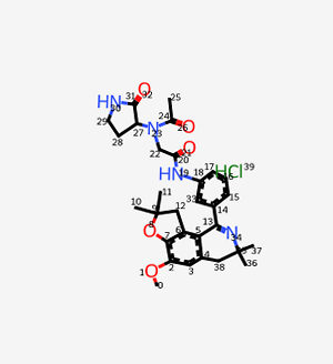 COc1cc2c(c3c1OC(C)(C)C3)C(c1cccc(NC(=O)CN(C(C)=O)C3CCNC3=O)c1)=NC(C)(C)C2.Cl